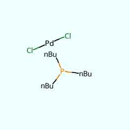 CCCCP(CCCC)CCCC.[Cl][Pd][Cl]